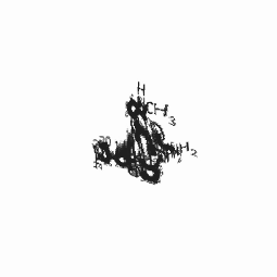 Cc1[nH]c2ccccc2c1C[C@@H](C(=O)NCc1cc(-c2ccnc(F)c2)cc(Cl)c1Sc1ncccc1CN)N(C)C(=O)[C@@H](N)CN